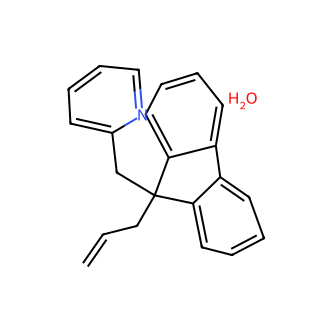 C=CCC1(Cc2ccccn2)c2ccccc2-c2ccccc21.O